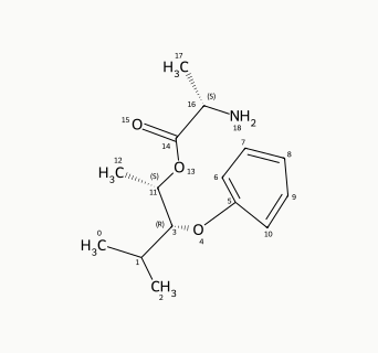 CC(C)[C@@H](Oc1ccccc1)[C@H](C)OC(=O)[C@H](C)N